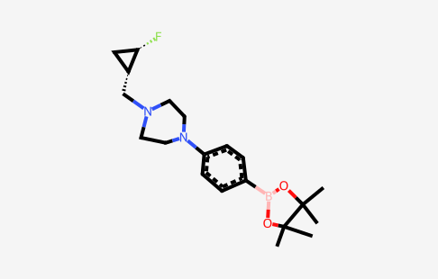 CC1(C)OB(c2ccc(N3CCN(C[C@@H]4C[C@@H]4F)CC3)cc2)OC1(C)C